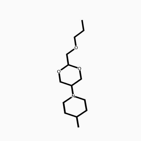 CCCOCC1OCC(N2CCC(C)CC2)CO1